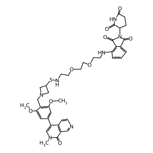 COc1cc(-c2cn(C)c(=O)c3cnccc23)cc(OC)c1CN1CC(SNCCOCCOCCNc2cccc3c2C(=O)N(C2CCC(=O)NC2=O)C3=O)C1